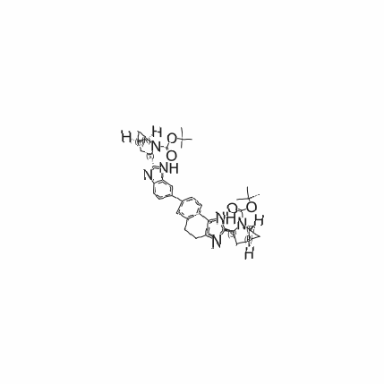 CC(C)(C)OC(=O)N1[C@@H]2C[C@@H]2C[C@H]1c1nc2c([nH]1)-c1ccc(-c3ccc4nc([C@@H]5C[C@H]6C[C@H]6N5C(=O)OC(C)(C)C)[nH]c4c3)cc1CC2